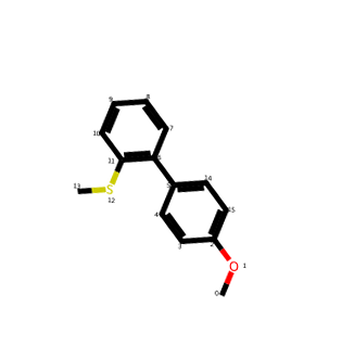 COc1ccc(-c2[c]cccc2SC)cc1